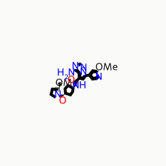 COC[C@H]1CCCN1C(=O)[C@H]1CC[C@H](NC(=O)c2cc(-c3ccnc(OC)c3)n3ncnc(N)c23)CC1